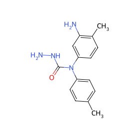 Cc1ccc(N(C(=O)NN)c2ccc(C)c(N)c2)cc1